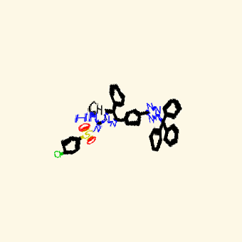 CN/C(=N\S(=O)(=O)c1ccc(Cl)cc1)N1CC(c2ccccc2)C(c2ccc(-c3nnn(C(c4ccccc4)(c4ccccc4)c4ccccc4)n3)cc2)=N1